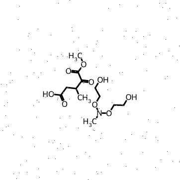 CN(OCCO)OCCO.COC(=O)C(=O)C(C)CC(=O)O